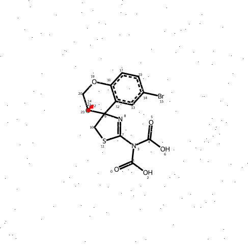 O=C(O)N(C(=O)O)C1=NC2(CS1)c1cc(Br)ccc1OCC21COC1